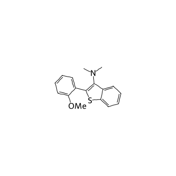 COc1ccccc1-c1sc2ccccc2c1N(C)C